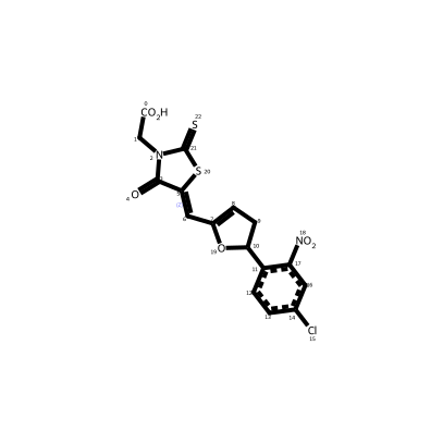 O=C(O)CN1C(=O)/C(=C/C2=CCC(c3ccc(Cl)cc3[N+](=O)[O-])O2)SC1=S